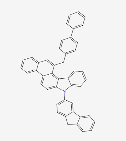 c1ccc(-c2ccc(Cc3cc4ccccc4c4ccc5c(c6ccccc6n5-c5ccc6c(c5)-c5ccccc5C6)c34)cc2)cc1